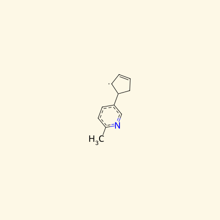 Cc1ccc(C2[CH]C=CC2)cn1